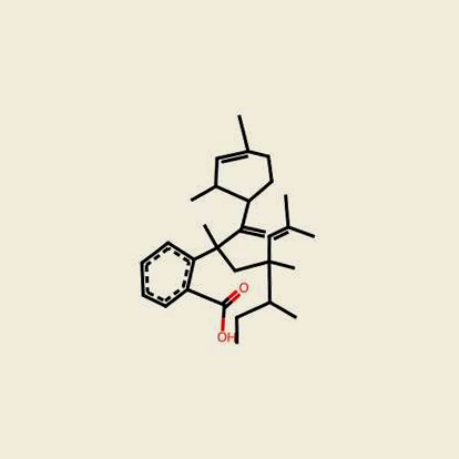 C=C(C1CCC(C)=CC1C)C(C)(CC(C)(C=C(C)C)C(C)CC)c1ccccc1C(=O)O